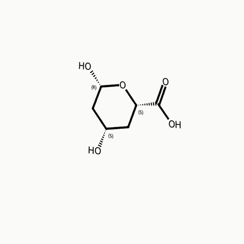 O=C(O)[C@@H]1C[C@H](O)C[C@H](O)O1